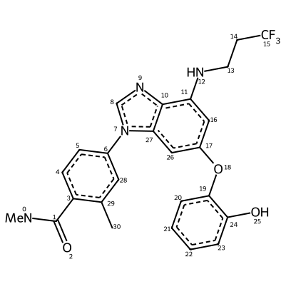 CNC(=O)c1ccc(-n2cnc3c(NCCC(F)(F)F)cc(Oc4ccccc4O)cc32)cc1C